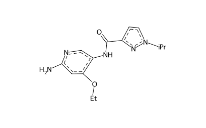 CCOc1cc(N)ncc1NC(=O)c1ccn(C(C)C)n1